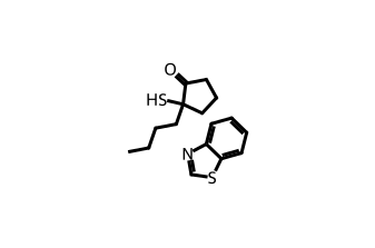 CCCCC1(S)CCCC1=O.c1ccc2scnc2c1